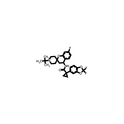 CC(C)(C)N1CCC2(CC1)CC(NC(=O)C1(c3ccc4c(c3)OC(F)(F)O4)CC1)c1ccc(F)cc1O2